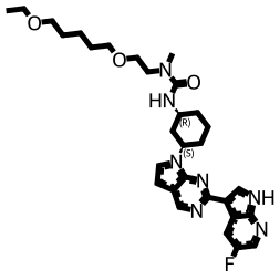 CCOCCCCCOCCN(C)C(=O)N[C@@H]1CCC[C@H](n2ccc3cnc(-c4c[nH]c5ncc(F)cc45)nc32)C1